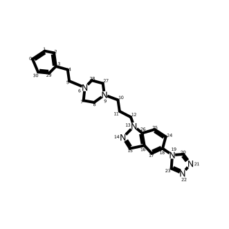 c1ccc(CCN2CCN(CCCn3ncc4cc(-n5cnnc5)ccc43)CC2)cc1